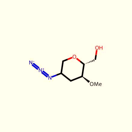 CO[C@H]1CC(N=[N+]=[N-])CO[C@@H]1CO